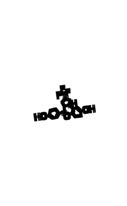 Oc1ccc([C@@H]2Oc3ccc(O)cc3[C@@H]3C[C@H](C(F)(F)F)CC32)cc1